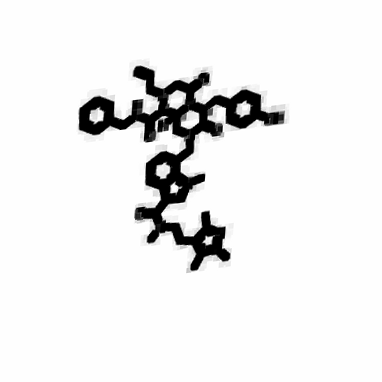 C=CCN1CC(=O)N2[C@@H](Cc3ccc(O)cc3)C(=O)N(Cc3cccc4c(C(=O)N(C)CCc5c(C)nn(C)c5C)cn(C)c34)C[C@@H]2N1C(=O)NCc1ccccc1